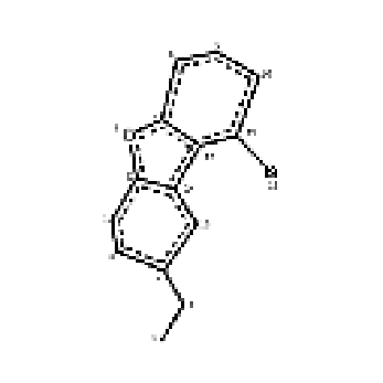 CCc1ccc2oc3cccc(Br)c3c2c1